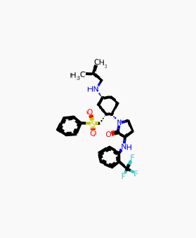 CC(C)CN[C@@H]1CC[C@H](N2CCC(Nc3ccccc3C(F)(F)F)C2=O)[C@H](CS(=O)(=O)c2ccccc2)C1